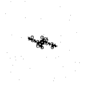 C=CC(=O)OCCOC(=O)c1cc(C(=O)Cl)c(C(=O)OCCOC(=O)C=C)cc1C(=O)Cl